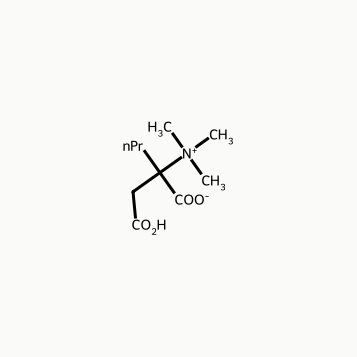 CCCC(CC(=O)O)(C(=O)[O-])[N+](C)(C)C